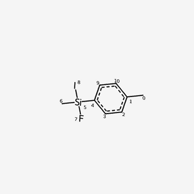 Cc1ccc([Si](C)(F)I)cc1